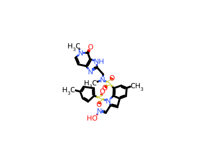 Cc1ccc(S(=O)(=O)n2c(/C=N/O)cc3cc(C)cc(S(=O)(=O)N(C)Cc4nc5ccn(C)c(=O)c5[nH]4)c32)cc1